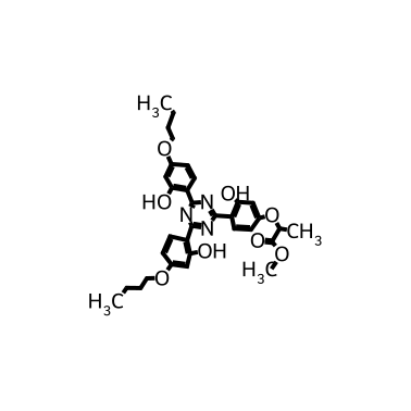 CCCCOc1ccc(-c2nc(-c3ccc(OCCCC)cc3O)nc(-c3ccc(OC(C)C(=O)OC)cc3O)n2)c(O)c1